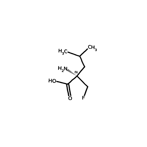 CC(C)C[C@@](N)(CF)C(=O)O